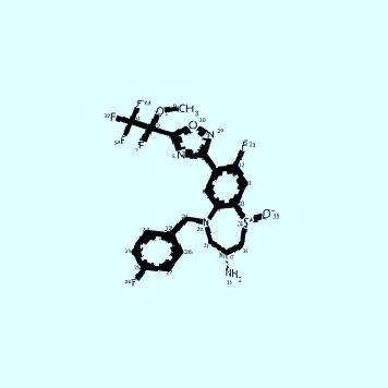 COC(F)(c1nc(-c2cc3c(cc2F)[S+]([O-])C[C@H](N)CN3Cc2ccc(F)cc2)no1)C(F)(F)F